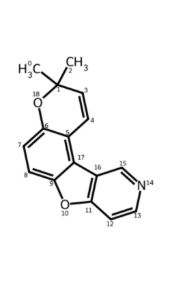 CC1(C)C=Cc2c(ccc3oc4ccncc4c23)O1